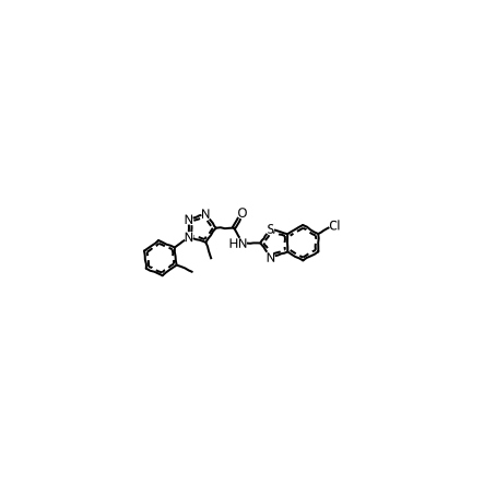 Cc1ccccc1-n1nnc(C(=O)Nc2nc3ccc(Cl)cc3s2)c1C